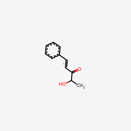 [CH2]C(O)C(=O)/C=C/c1ccccc1